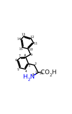 NC(Cc1ccccc1Cc1ccccc1)C(=O)O